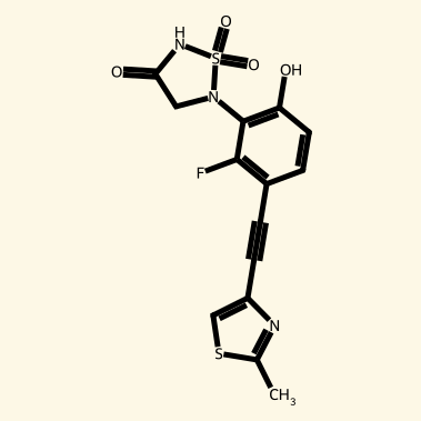 Cc1nc(C#Cc2ccc(O)c(N3CC(=O)NS3(=O)=O)c2F)cs1